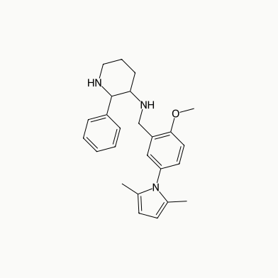 COc1ccc(-n2c(C)ccc2C)cc1CNC1CCCNC1c1ccccc1